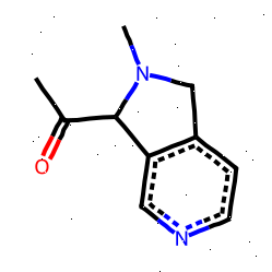 CC(=O)C1c2cnccc2CN1C